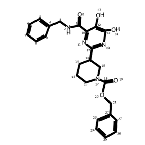 O=C(NCc1ccccc1)c1nc(C2CCCN(C(=O)OCc3ccccc3)C2)nc(O)c1O